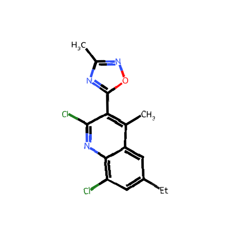 CCc1cc(Cl)c2nc(Cl)c(-c3nc(C)no3)c(C)c2c1